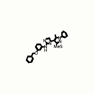 CSc1nn(-c2ccccc2)c(C)c1-c1ccnc(Nc2cccc(OCc3ccccc3)c2)n1